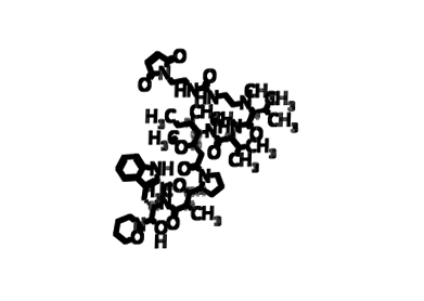 CC[C@H](C)[C@@H]([C@@H](CC(=O)N1CCC[C@H]1[C@H](OC)[C@@H](C)C(=O)N[C@@H](Cc1c[nH]c2ccccc12)C(O)N1CCCCO1)OC)N(C)C(=O)[C@@H](NC(=O)[C@H](C(C)C)N(C)CCNC(=O)NCCN1C(=O)C=CC1=O)C(C)C